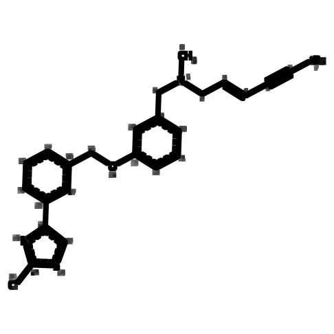 CN(CC=CC#CC(C)(C)C)Cc1cccc(OCc2cccc(-c3csc(Cl)n3)c2)c1